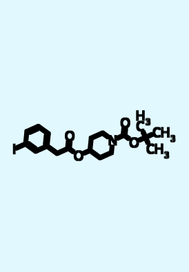 CC(C)(C)OC(=O)N1CCC(OC(=O)Cc2cccc(I)c2)CC1